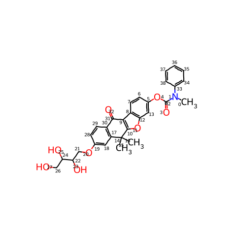 CN(C(=O)Oc1ccc2c3c(oc2c1)C(C)(C)c1cc(OCC(O)C(O)CO)ccc1C3=O)c1ccccc1